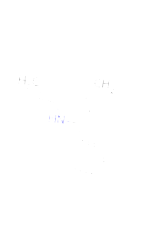 C=CCNC(CC=C)c1ccccc1